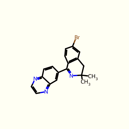 CC1(C)Cc2cc(Br)ccc2C(c2ccc3nccnc3c2)=N1